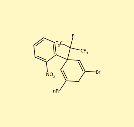 CCCC1=CC(c2ccccc2[N+](=O)[O-])(C(F)(C(F)(F)F)C(F)(F)F)C=C(Br)[CH]1